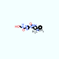 CN(C)[C@]1(c2ccccc2)CC[C@@]2(CC1)CN(c1cnc(C(=O)NCCO)nc1)C(=O)N2